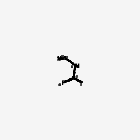 CNBN(C)F